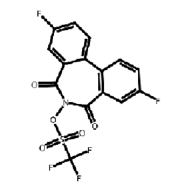 O=c1c2cc(F)ccc2c2ccc(F)cc2c(=O)n1OS(=O)(=O)C(F)(F)F